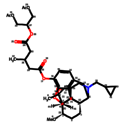 CO[C@@]12CC[C@@]3(C[C@@H]1[C@](C)(O)C(C)(C)C)C1Cc4ccc(OC(=O)CC(C)CC(=O)OC(COC(C)=O)COC(C)=O)c5c4[C@@]3(CCN1CC1CC1)[C@H]2O5